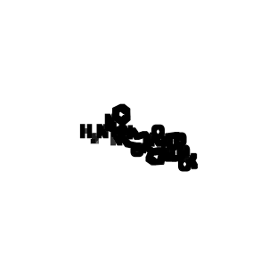 COCCc1nc2c(N)nc3ccccc3c2n1CCCN(Cc1cccc(OCC(=O)OC(C)C)c1)C(=O)CN1CCOCC1